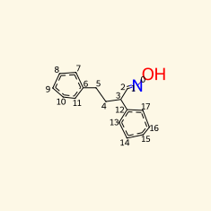 ON=CC(CCc1ccccc1)c1ccccc1